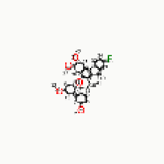 COc1ccc(C2(c3ccc(OC)cc3)C=Cc3c4c(c5cc(OC)c(OC)cc5c3O2)-c2ccc(F)cc2C4(C)C)cc1